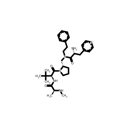 CN[C@@H](C)C(=O)N[C@H](C(=O)N1CCC[C@H]1CN(CCc1ccccc1)C(=O)[C@H](N)Cc1ccncc1)C(C)(C)C